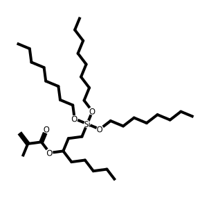 C=C(C)C(=O)OC(CCCCC)CC[Si](OCCCCCCCC)(OCCCCCCCC)OCCCCCCCC